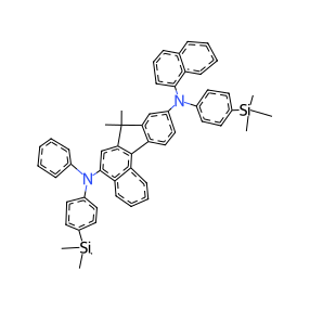 CC1(C)c2cc(N(c3ccc([Si](C)(C)C)cc3)c3cccc4ccccc34)ccc2-c2c1cc(N(c1ccccc1)c1ccc([Si](C)(C)C)cc1)c1ccccc21